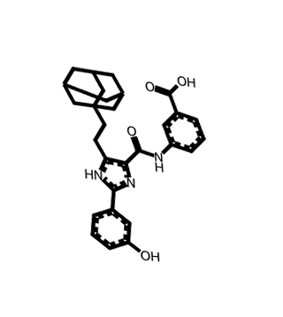 O=C(O)c1cccc(NC(=O)c2nc(-c3cccc(O)c3)[nH]c2CCC23CC4CC(CC(C4)C2)C3)c1